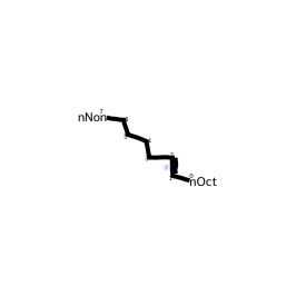 [CH2]CCCCCCC/C=C/CCCCCCCCCCCC[CH2]